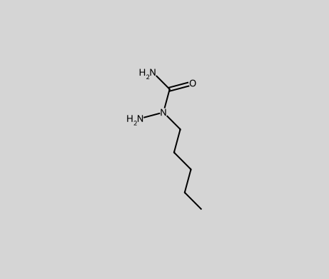 CCCCCN(N)C(N)=O